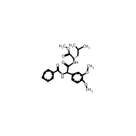 COC(=O)[C@H](CC(C)C)NC(=O)C(NC(=O)c1ccccc1)c1ccc(OC)c(OC)c1